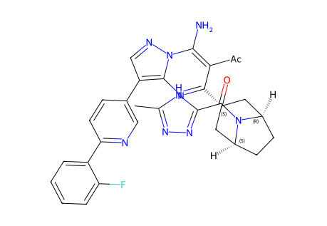 CC(=O)c1c([C@@H]2C[C@H]3CC[C@@H](C2)N3C(=O)c2nnc(C)[nH]2)nc2c(-c3ccc(-c4ccccc4F)nc3)cnn2c1N